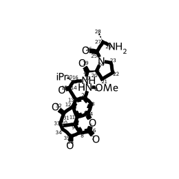 CONc1cc2oc(=O)c3c(C)c2c(c1C(=O)[C@@H](NC(=O)[C@@H]1CCCN1C(=O)[C@H](C)N)C(C)C)C(=O)CCC3=O